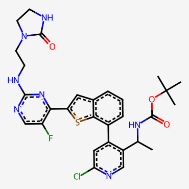 CC(NC(=O)OC(C)(C)C)c1cnc(Cl)cc1-c1cccc2cc(-c3nc(NCCN4CCNC4=O)ncc3F)sc12